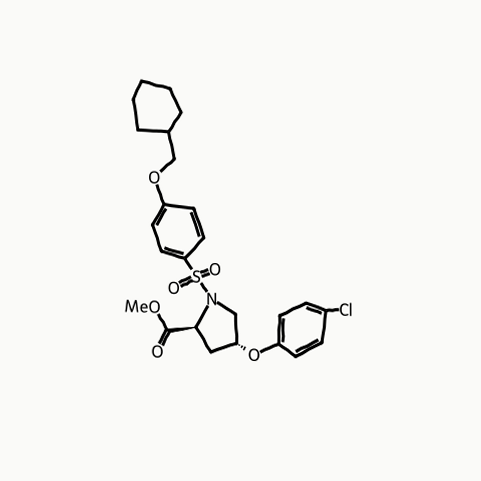 COC(=O)[C@@H]1C[C@@H](Oc2ccc(Cl)cc2)CN1S(=O)(=O)c1ccc(OCC2CCCCC2)cc1